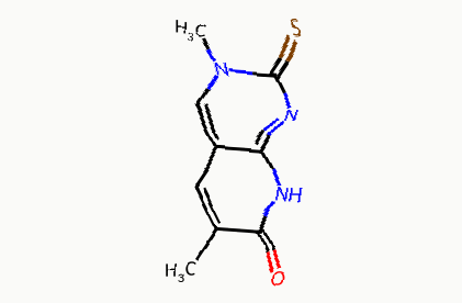 Cc1cc2cn(C)c(=S)nc2[nH]c1=O